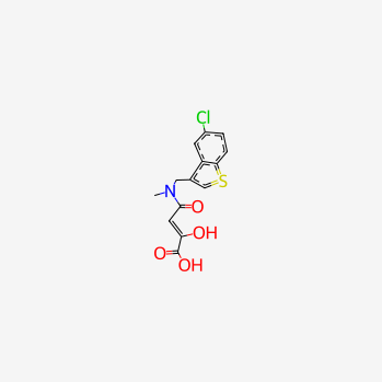 CN(Cc1csc2ccc(Cl)cc12)C(=O)C=C(O)C(=O)O